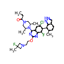 C=CC(=O)N1C[C@@H](C)N(c2nc(OCCN3CC(C)(F)C3)nc3c(F)c(-c4c(C)ccc5cn[nH]c45)c(Cl)cc23)[C@@H](C)C1